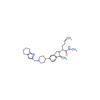 C=CCCC(C(=O)NC)N1Cc2cc(C3CCN(Cc4cc5n(n4)CCCC5)CC3)ccc2C1=C